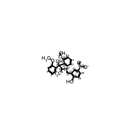 COc1ccccc1C(O)(c1ccccc1OC)C(C)N=Cc1cc([N+](=O)[O-])ccc1O